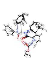 C=C(C)/C=C(\C=C/C)N(C(=O)[C@H]1CCCCN1C(=O)OCC)[C@@H]1C(=O)N(C2CCCCC2)c2ccccc21